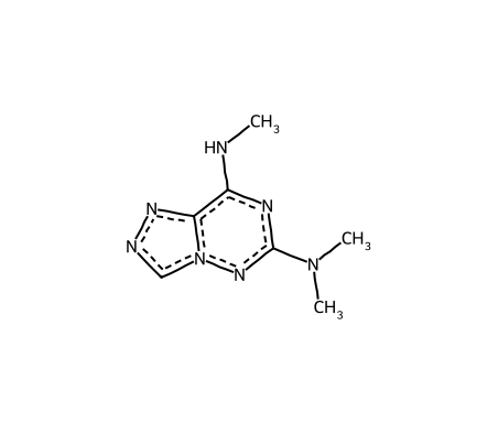 CNc1nc(N(C)C)nn2cnnc12